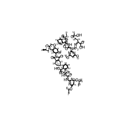 C#CCN1C(=O)COc2cc(F)c(N3C(=O)C4=C(CCCC4)C3=O)cc21.CCS(=O)(=O)c1cccnc1S(=O)(=O)NC(=O)Nc1nc(OC)cc(OC)n1.CP(=O)(O)CCC(N)C(=O)O.O=C(Nc1nc(OC(F)F)cc(OC(F)F)n1)NS(=O)(=O)c1ccccc1C(=O)O